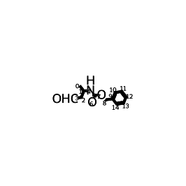 CC(CC=O)NC(=O)OCc1ccccc1